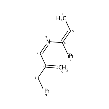 C=C(/C=N\C(=C/C)C(C)C)CC(C)C